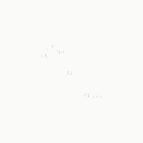 CCCCNCCCCNCCCC(NCC)NCC